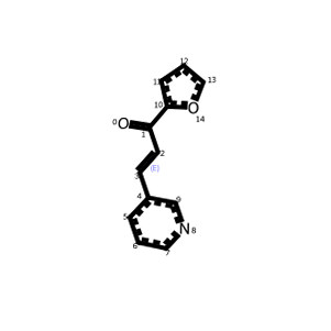 O=C(/C=C/c1cccnc1)c1ccco1